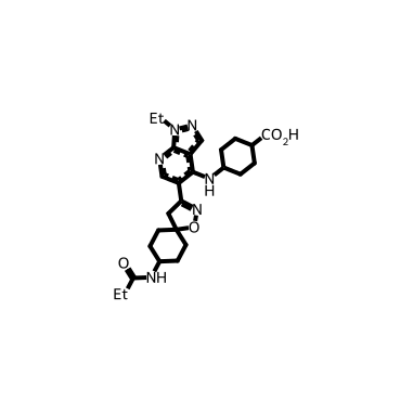 CCC(=O)NC1CCC2(CC1)CC(c1cnc3c(cnn3CC)c1NC1CCC(C(=O)O)CC1)=NO2